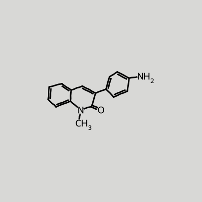 Cn1c(=O)c(-c2ccc(N)cc2)cc2ccccc21